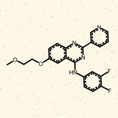 COCCOc1ccc2nc(-c3cccnc3)nc(Nc3ccc(F)c(F)c3)c2c1